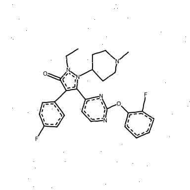 CCn1c(=O)c(-c2ccc(F)cc2)c(-c2ccnc(Oc3ccccc3F)n2)n1C1CCN(C)CC1